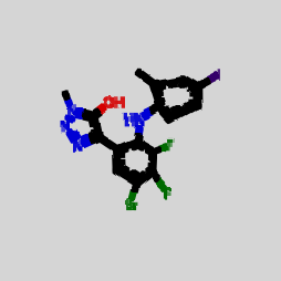 Cc1cc(I)ccc1Nc1c(-c2nnn(C)c2O)cc(Br)c(F)c1F